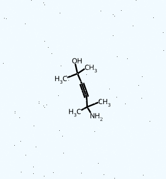 CC(C)(N)C#CC(C)(C)O